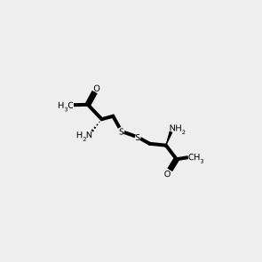 CC(=O)[C@H](N)CSSC[C@H](N)C(C)=O